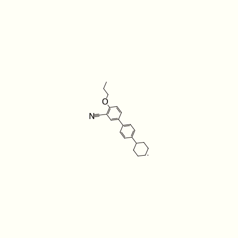 CCCOc1ccc(-c2ccc(C3CC[CH]CC3)cc2)cc1C#N